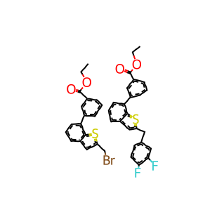 CCOC(=O)c1cccc(-c2cccc3cc(CBr)sc23)c1.CCOC(=O)c1cccc(-c2cccc3cc(Cc4ccc(F)c(F)c4)sc23)c1